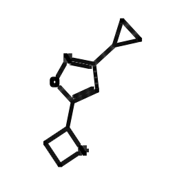 c1c(C2CC2)noc1C1CC[N]1